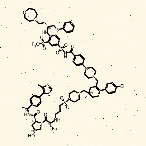 Cc1ncsc1-c1ccc([C@H](C)NC(=O)[C@@H]2C[C@@H](O)CN2C(=O)[C@@H](NCCCS(=O)(=O)N2CCN(C[C@]3(C)CCC(c4ccc(Cl)cc4)=C(CN4CCN(c5ccc(C(=O)NS(=O)(=O)c6ccc(N[C@H](CCN7CCCOCC7)CSc7ccccc7)c(S(=O)(=O)C(F)(F)F)c6)cc5)CC4)C3)CC2)C(C)(C)C)cc1